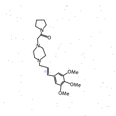 COc1cc(/C=C/CN2CCN(CC(=O)N3CCCC3)CC2)cc(OC)c1OC